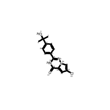 CC(C)(O)c1ccc(-c2nn3cc(Cl)cc3c(=O)[nH]2)cc1